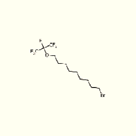 FC(F)(F)C(F)(OCCCCCCCCCBr)C(F)(F)F